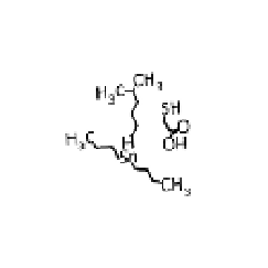 CCC[CH2][SnH]([CH2]CCC)[CH2]CCCCC(C)C.O=C(O)CS